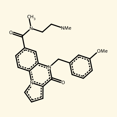 CNCCN(C)C(=O)c1ccc2c(c1)n(Cc1cccc(OC)c1)c(=O)c1cccn12